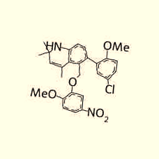 COc1ccc([N+](=O)[O-])cc1OCc1c(-c2cc(Cl)ccc2OC)ccc2c1C(C)=CC(C)(C)N2